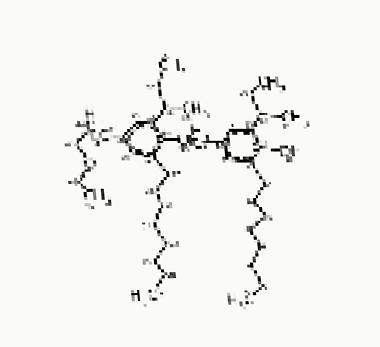 CCCCCCCCc1cc(C)cc(C(C)CC)c1O.CCCCCCCCc1cc(C)cc(C(C)CC)c1O.CCOCC